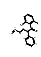 Cc1cccc(Cl)c1C(=O)C(CCP=O)c1ccccc1